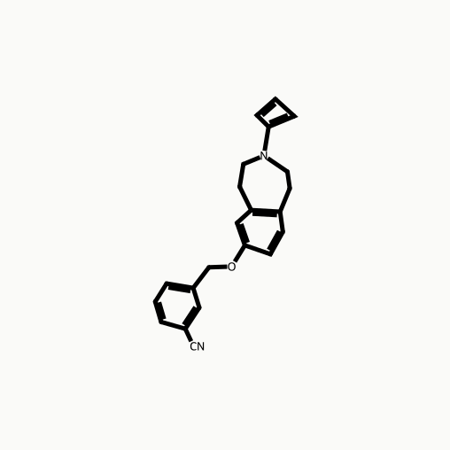 N#Cc1cccc(COc2ccc3c(c2)CCN(C2=CC=C2)CC3)c1